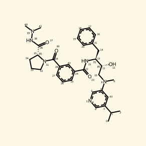 CC(C)c1cncc(N(C)C[C@@H](O)[C@H](Cc2ccccc2)NC(=O)c2cccc(C(=O)N3CCC[C@@H]3C(=O)NN(C)C)c2)c1